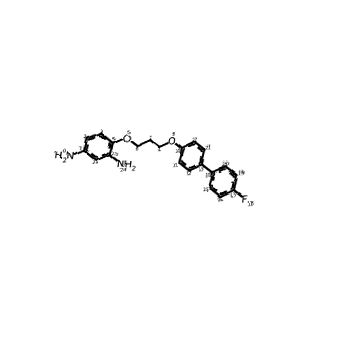 Nc1ccc(OCCCOc2ccc(-c3ccc(F)cc3)cc2)c(N)c1